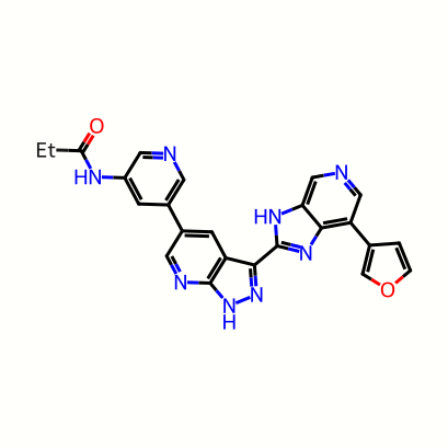 CCC(=O)Nc1cncc(-c2cnc3[nH]nc(-c4nc5c(-c6ccoc6)cncc5[nH]4)c3c2)c1